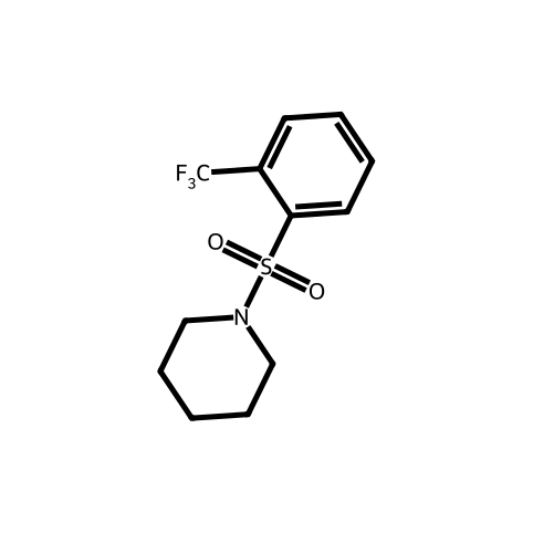 O=S(=O)(c1ccccc1C(F)(F)F)N1CCCCC1